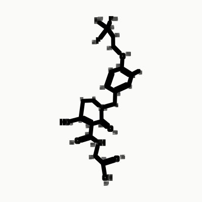 Cc1cc(CN2CCC(O)=C(C(=O)NCC(=O)O)C2=O)ccc1OCCC(F)(F)F